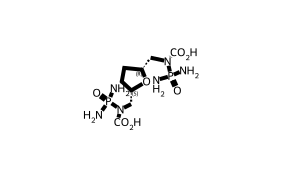 NP(N)(=O)N(C[C@H]1CC[C@@H](CN(C(=O)O)P(N)(N)=O)O1)C(=O)O